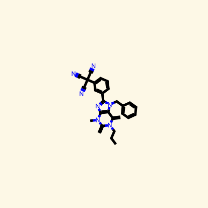 C=C1c2c(nc(-c3cccc(C(C#N)(C#N)C#N)c3)n2Cc2ccccc2)N(C)C(=C)N1CCC